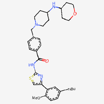 CCCCc1ccc(OC)c(-c2csc(NC(=O)c3ccc(CN4CCC(NC5CCOCC5)CC4)cc3)n2)c1